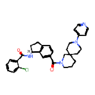 O=C(N[C@@H]1CCc2ccc(C(=O)N3CCCC4(CCN(c5ccncc5)CC4)C3)cc21)c1ccccc1Cl